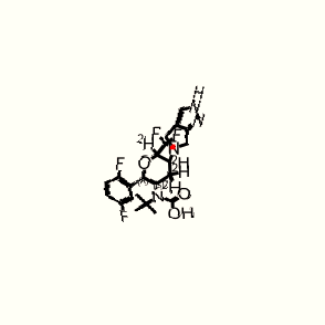 [2H]C1([2H])[C@H](N(C(=O)O)C(C)(C)C)[C@@H](c2cc(F)ccc2F)OC([2H])(C(F)(F)F)C1([2H])N1Cc2c[nH]nc2C1